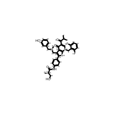 CC(C)C(=O)c1cn(Cc2c(F)cccc2F)c2sc(-c3ccc(NC(=O)[C@H](C)CO)cc3)c(CN(C)Cc3ccccc3)c2c1=O.Cl